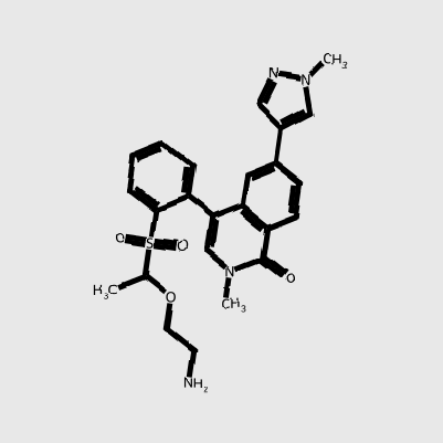 CC(OCCN)S(=O)(=O)c1ccccc1-c1cn(C)c(=O)c2ccc(-c3cnn(C)c3)cc12